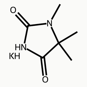 CN1C(=O)NC(=O)C1(C)C.[KH]